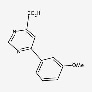 COc1cccc(-c2cc(C(=O)O)ncn2)c1